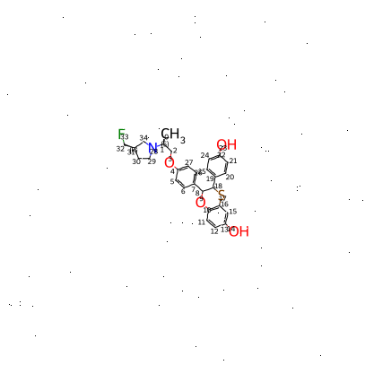 C[C@@H](COc1ccc(C2Oc3ccc(O)cc3SC2c2ccc(O)cc2)cc1)N1CC[C@@H](CF)C1